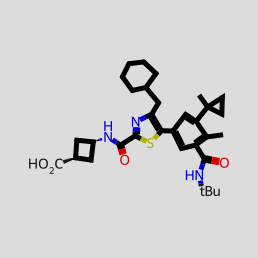 Cc1c(C(=O)NC(C)(C)C)cc(-c2sc(C(=O)N[C@H]3C[C@H](C(=O)O)C3)nc2CC2CCCCC2)cc1C1(C)CC1